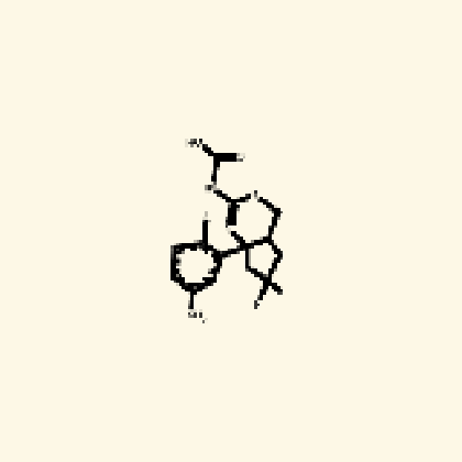 Nc1ccc(F)c(C23CC(F)(F)CC2CSC(NC(=O)O)=N3)c1